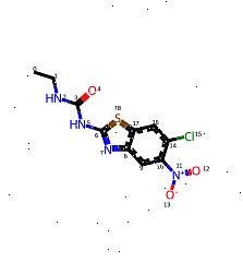 CCNC(=O)Nc1nc2cc([N+](=O)[O-])c(Cl)cc2s1